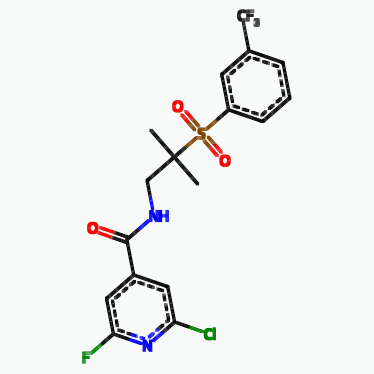 CC(C)(CNC(=O)c1cc(F)nc(Cl)c1)S(=O)(=O)c1cccc(C(F)(F)F)c1